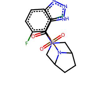 O=C(c1cnn[nH]1)N1CC2CCC(C1)N2S(=O)(=O)c1c(F)cccc1F